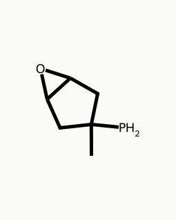 CC1(P)CC2OC2C1